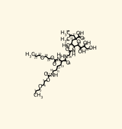 CCCOCCOC(=O)NCCCCC(NC(=O)OCCOCCC)C(=O)NCC(=O)NC1C(O)CC(CC(C)C)(C(=O)O)OC1C(O)C(O)CO